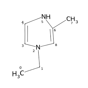 CCN1C=[C]NC(C)=C1